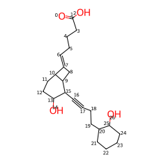 O=C(O)CCC/C=C1\CC2C1CCC(O)C2C#CCCC1CCCCC1O